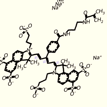 C=C(C)C(=O)NCCCNC(=O)c1ccc(C(=C\C=C2/N(CCCS(=O)(=O)[O-])c3ccc4c(S(=O)(=O)[O-])cc(S(=O)(=O)[O-])cc4c3C2(C)C)/C=C/C2=[N+](CCCS(=O)(=O)[O-])c3ccc4c(S(=O)(=O)[O-])cc(S(=O)(=O)[O-])cc4c3C2(C)C)cc1.[Na+].[Na+].[Na+].[Na+].[Na+]